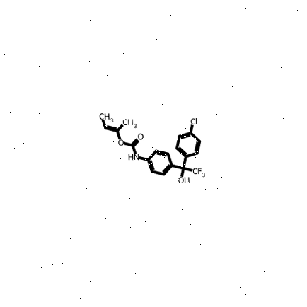 C/C=C(\C)OC(=O)Nc1ccc(C(O)(c2ccc(Cl)cc2)C(F)(F)F)cc1